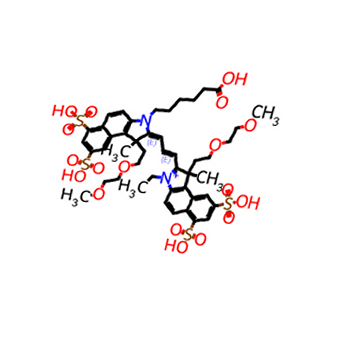 CC[N+]1=C(/C=C/C=C2/N(CCCCCC(=O)O)c3ccc4c(S(=O)(=O)O)cc(S(=O)(=O)O)cc4c3C2(C)CCOCCOC)C(C)(CCOCCOC)c2c1ccc1c(S(=O)(=O)O)cc(S(=O)(=O)O)cc21